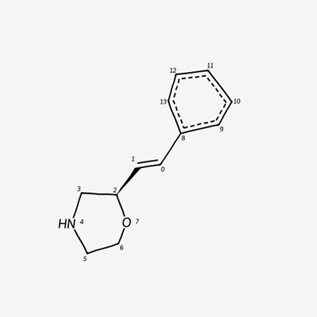 C(=C[C@@H]1CNCCO1)c1ccccc1